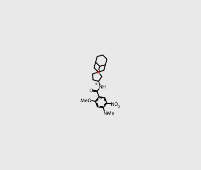 CNc1cc(OC)c(C(=O)N[C@H]2CCN(C3C4CCCC3CCC4)C2)cc1[N+](=O)[O-]